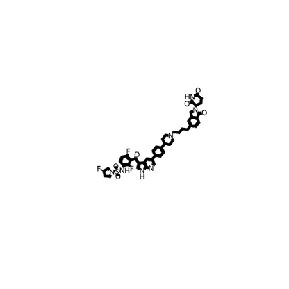 O=C1CCC(N2Cc3cc(CCCCN4CCC(c5ccc(-c6cnc7[nH]cc(C(=O)c8c(F)ccc(NS(=O)(=O)N9CC[C@@H](F)C9)c8F)c7c6)cc5)CC4)ccc3C2=O)C(=O)N1